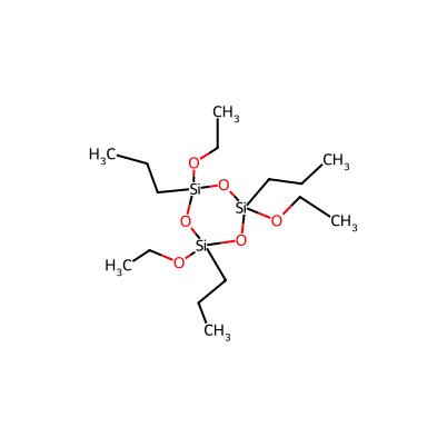 CCC[Si]1(OCC)O[Si](CCC)(OCC)O[Si](CCC)(OCC)O1